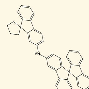 c1ccc2c(c1)-c1ccc(Nc3ccc4c(c3)-c3ccccc3C43c4ccccc4-c4ccccc43)cc1C21CCCC1